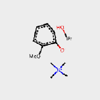 CC(C)O.COc1ccccc1[O-].C[N+](C)(C)C